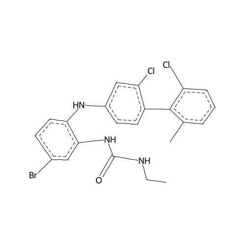 CCNC(=O)Nc1cc(Br)ccc1Nc1ccc(-c2c(C)cccc2Cl)c(Cl)c1